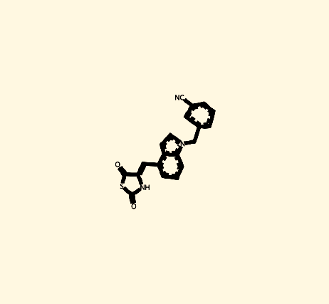 N#Cc1cccc(Cn2ccc3c(C=C4NC(=O)SC4=O)cccc32)c1